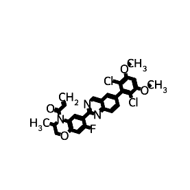 C=CC(=O)N1c2cc(-c3ncc4cc(-c5c(Cl)c(OC)cc(OC)c5Cl)ccc4n3)c(F)cc2OCC1C